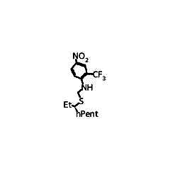 CCCCC[C@@H](CC)SCNc1ccc([N+](=O)[O-])cc1C(F)(F)F